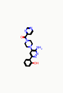 Nc1nnc(-c2ccccc2O)cc1N1CCN(C(=O)c2ccncn2)CC1